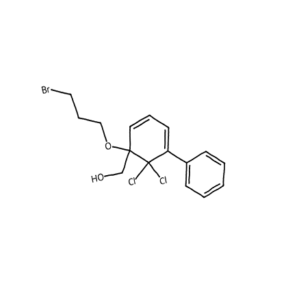 OCC1(OCCCBr)C=CC=C(c2ccccc2)C1(Cl)Cl